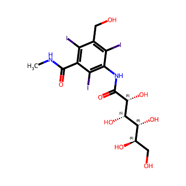 CNC(=O)c1c(I)c(CO)c(I)c(NC(=O)[C@H](O)[C@@H](O)[C@H](O)[C@H](O)CO)c1I